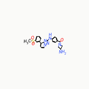 CS(=O)(=O)c1cccc(-c2cccn3nc(Nc4ccc(C(=O)N5CC(N)C5)cc4)nc23)c1